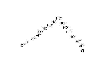 [Al+3].[Al+3].[Al+3].[Al+3].[Cl-].[Cl-].[Cl-].[OH-].[OH-].[OH-].[OH-].[OH-].[OH-].[OH-].[OH-].[OH-]